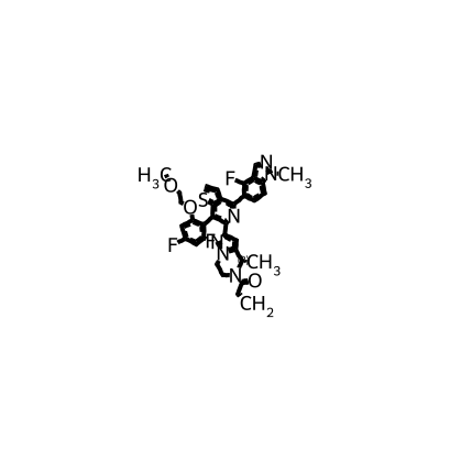 C=CC(=O)N1CCn2nc(-c3nc(-c4ccc5c(cnn5C)c4F)c4ccsc4c3-c3c(F)cc(F)cc3OCCOC)cc2[C@H]1C